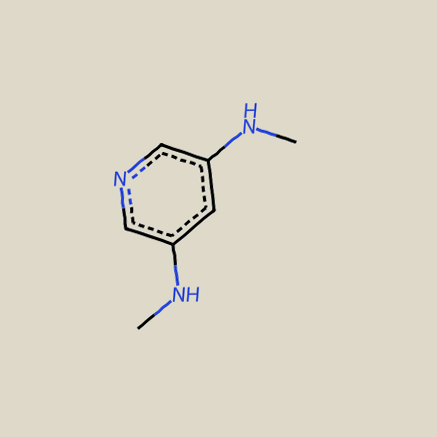 CNc1cncc(NC)c1